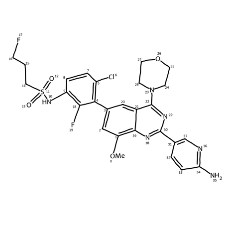 COc1cc(-c2c(Cl)ccc(NS(=O)(=O)CCCF)c2F)cc2c(N3CCOCC3)nc(-c3ccc(N)nc3)nc12